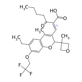 CCCCC(=O)/C(=C\C1=C(C)c2cc(CC)c(OCC(F)(F)F)cc2OC1C1(C)COC1)C(=O)O